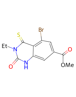 CCn1c(=O)[nH]c2cc(C(=O)OC)cc(Br)c2c1=S